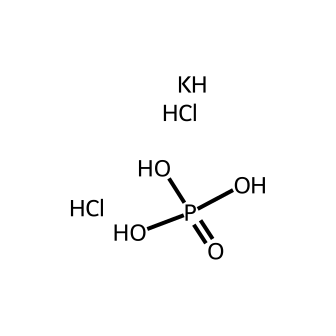 Cl.Cl.O=P(O)(O)O.[KH]